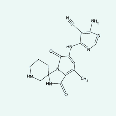 Cc1cc(Nc2ncnc(N)c2C#N)c(=O)n2c1C(=O)NC21CCCNC1